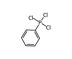 Cl[P](Cl)(Cl)c1ccccc1